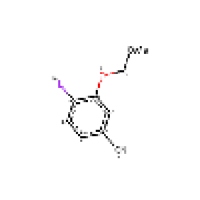 COCOc1cc(C#N)ccc1I